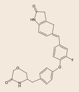 O=C1CC2=C(C=CC(=Cc3ccc(Oc4ccc(CC5COCC(=O)N5)cc4)c(F)c3)C2)N1